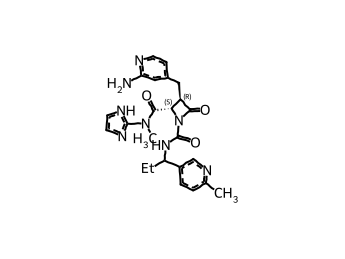 CCC(NC(=O)N1C(=O)[C@H](Cc2ccnc(N)c2)[C@H]1C(=O)N(C)c1ncc[nH]1)c1ccc(C)nc1